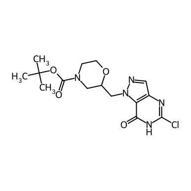 CC(C)(C)OC(=O)N1CCOC(Cn2ncc3nc(Cl)[nH]c(=O)c32)C1